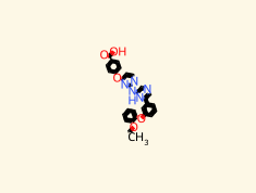 CCOc1ccccc1Oc1cccc(-c2cncc(Nc3nccc(O[C@H]4CC[C@H](C(=O)O)CC4)n3)n2)c1